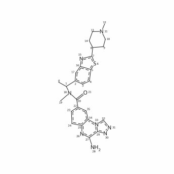 CC(c1ccc2sc(C3CCN(C)CC3)nc2c1)N(C)C(=O)c1ccc2nc(N)c3nncn3c2c1